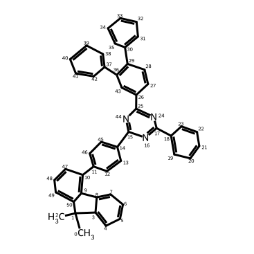 CC1(C)c2ccccc2-c2c(-c3ccc(-c4nc(-c5ccccc5)nc(-c5ccc(-c6ccccc6)c(-c6ccccc6)c5)n4)cc3)cccc21